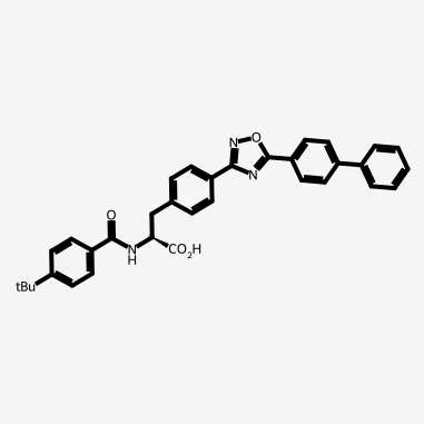 CC(C)(C)c1ccc(C(=O)N[C@@H](Cc2ccc(-c3noc(-c4ccc(-c5ccccc5)cc4)n3)cc2)C(=O)O)cc1